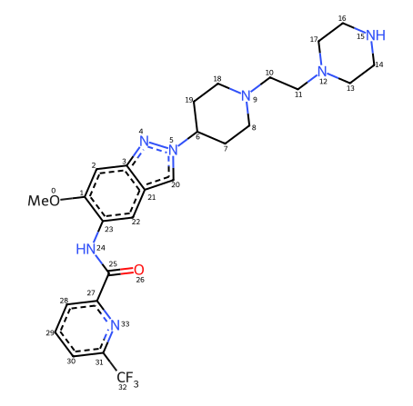 COc1cc2nn(C3CCN(CCN4CCNCC4)CC3)cc2cc1NC(=O)c1cccc(C(F)(F)F)n1